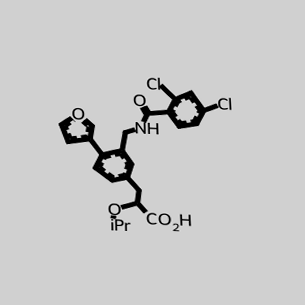 CC(C)OC(Cc1ccc(-c2ccoc2)c(CNC(=O)c2ccc(Cl)cc2Cl)c1)C(=O)O